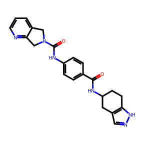 O=C(NC1CCc2[nH]ncc2C1)c1ccc(NC(=O)N2Cc3cccnc3C2)cc1